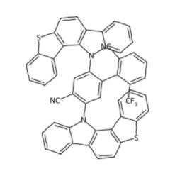 N#Cc1cc(-n2c3ccccc3c3ccc4sc5ccccc5c4c32)c(-c2c(C#N)cccc2C(F)(F)F)cc1-n1c2ccccc2c2ccc3sc4ccccc4c3c21